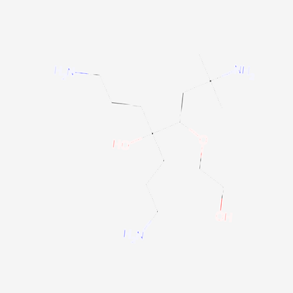 CC(C)(N)CC(OCCO)C(O)(CCCN)CCCN